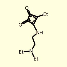 CCc1c(NCCN(CC)CC)c(=O)c1=O